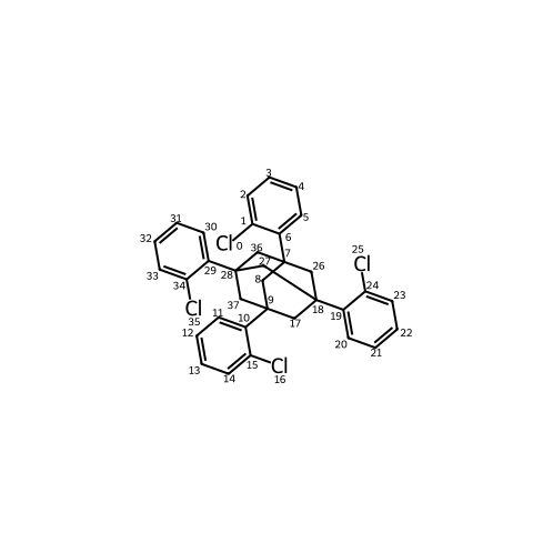 Clc1ccccc1C12CC3(c4ccccc4Cl)CC(c4ccccc4Cl)(C1)CC(c1ccccc1Cl)(C2)C3